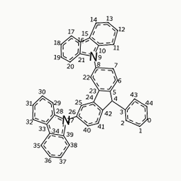 c1ccc(C2c3ccc(-n4c5ccccc5c5ccccc54)cc3-c3cc(-n4c5ccccc5c5ccccc54)ccc32)cc1